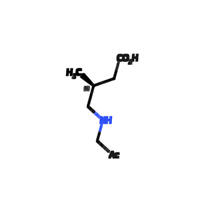 CC(=O)CNC[C@@H](C)CC(=O)O